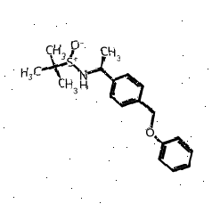 C[C@H](N[S+]([O-])C(C)(C)C)c1ccc(COc2ccccc2)cc1